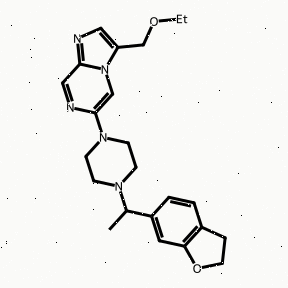 CCOCc1cnc2cnc(N3CCN(C(C)c4ccc5c(c4)OCC5)CC3)cn12